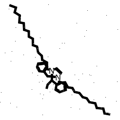 CCCCCCCCCCCCCCCCCN1C=CN(CCCCCCCCCCCCCC)C1(Cc1ccccc1)C(CC)c1ccccc1